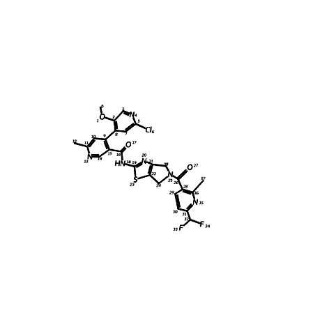 COc1cnc(Cl)cc1-c1cc(C)ncc1C(=O)Nc1nc2c(s1)CN(C(=O)c1ccc(C(F)F)nc1C)C2